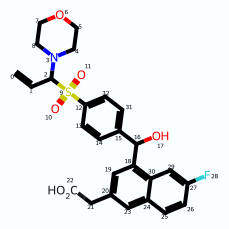 C=CC(N1CCOCC1)S(=O)(=O)c1ccc(C(O)c2cc(CC(=O)O)cc3ccc(F)cc23)cc1